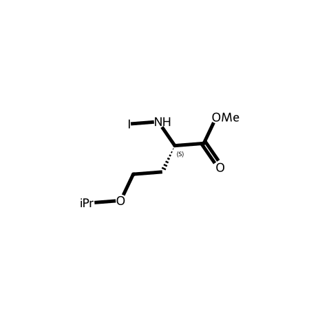 COC(=O)[C@H](CCOC(C)C)NI